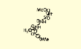 CCC(CC(=O)OC)C(=O)SCCNC(=O)CCNC(=O)[C@@H]1OC(c2ccc(OC)cc2)OCC1(C)C